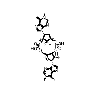 C=C1c2ncn([C@@H]3C[C@@H]4OP(=O)(S)O[C@H]5[C@@H](F)[C@H](n6cnc7c(=O)n(C)cnc76)O[C@@H]5COP(=O)(O)O[C@@H]3[C@@H]4O)c2N=CN1C